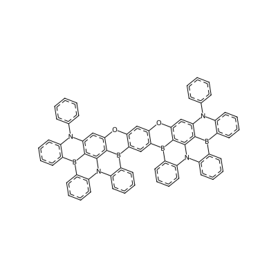 c1ccc(N2c3ccccc3B3c4ccccc4N4c5ccccc5B5c6cc7c(cc6Oc6cc2c3c4c65)Oc2cc3c4c5c2B7c2ccccc2N5c2ccccc2B4c2ccccc2N3c2ccccc2)cc1